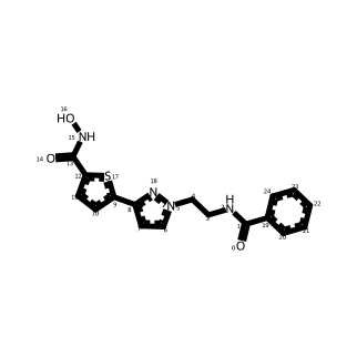 O=C(NCCn1ccc(-c2ccc(C(=O)NO)s2)n1)c1ccccc1